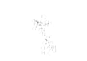 CCOC(=O)c1sc(N2CC[C@@H](NC(=O)c3[nH]c(Cl)c(C)c3Cl)[C@@H](F)C2)nc1C(=O)NC(C)(C)c1ccccc1